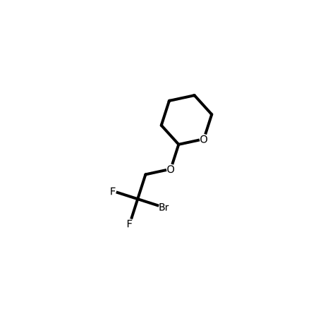 FC(F)(Br)COC1CCCCO1